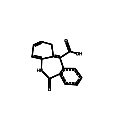 O=C(O)C1=C2CC=CC=C2NC(=O)c2ccccc21